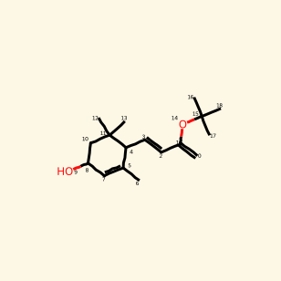 C=C(C=CC1C(C)=CC(O)CC1(C)C)OC(C)(C)C